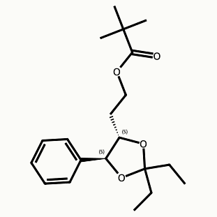 CCC1(CC)O[C@@H](CCOC(=O)C(C)(C)C)[C@H](c2ccccc2)O1